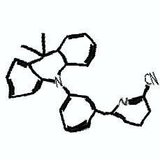 CC1(C)c2ccccc2N(c2cccc(C3=CCCC(C#N)=N3)c2)C2C=CC=CC21